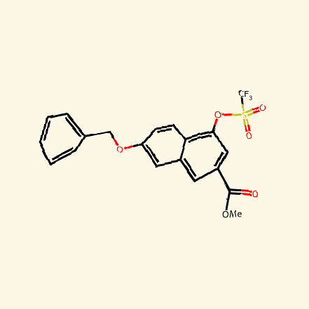 COC(=O)c1cc(OS(=O)(=O)C(F)(F)F)c2ccc(OCc3ccccc3)cc2c1